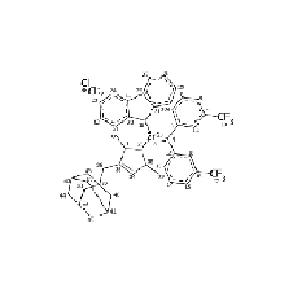 CC1=[C]([Zr+2](=[C](c2cccc(C(F)(F)F)c2)c2cccc(C(F)(F)F)c2)[CH]2c3ccccc3-c3ccccc32)C(C)C=C1CC12CC3CC(CC(C3)C1)C2.[Cl-].[Cl-]